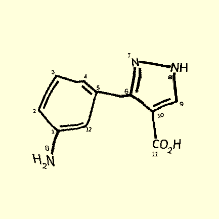 Nc1cccc(-c2n[nH]cc2C(=O)O)c1